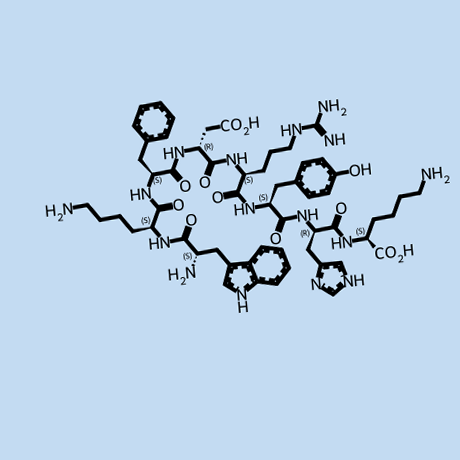 N=C(N)NCCC[C@H](NC(=O)[C@@H](CC(=O)O)NC(=O)[C@H](Cc1ccccc1)NC(=O)[C@H](CCCCN)NC(=O)[C@@H](N)Cc1c[nH]c2ccccc12)C(=O)N[C@@H](Cc1ccc(O)cc1)C(=O)N[C@H](Cc1c[nH]cn1)C(=O)N[C@@H](CCCCN)C(=O)O